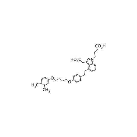 Cc1ccc(OCCCCOc2ccc(C=Cc3cccc4c3c(CC(=O)O)cn4CCCC(=O)O)cc2)cc1C